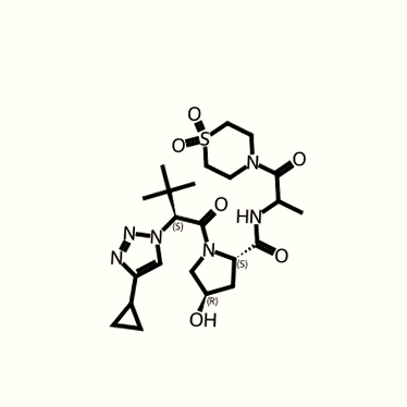 CC(NC(=O)[C@@H]1C[C@@H](O)CN1C(=O)[C@@H](n1cc(C2CC2)nn1)C(C)(C)C)C(=O)N1CCS(=O)(=O)CC1